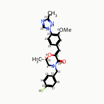 COc1cc(C=C2O[C@@H](C)CN(Cc3ccc(F)cc3)C2=O)ccc1-n1cnc(C)n1